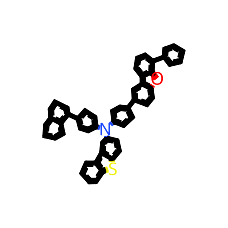 c1ccc(-c2cccc3c2oc2ccc(-c4ccc(N(c5ccc(-c6cccc7ccccc67)cc5)c5ccc6sc7ccccc7c6c5)cc4)cc23)cc1